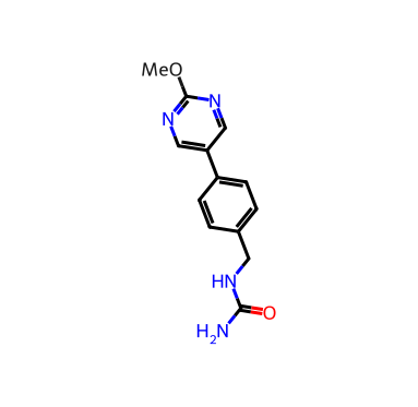 COc1ncc(-c2ccc(CNC(N)=O)cc2)cn1